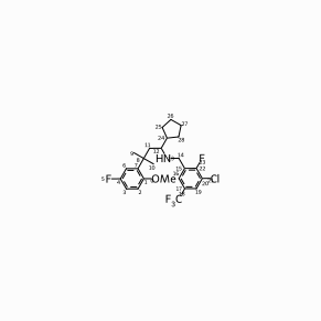 COc1ccc(F)cc1C(C)(C)CC(NCc1cc(C(F)(F)F)cc(Cl)c1F)C1CCCC1